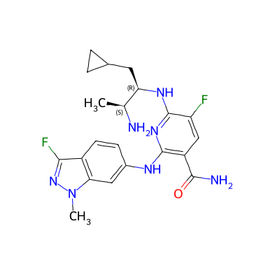 C[C@H](N)[C@@H](CC1CC1)Nc1nc(Nc2ccc3c(F)nn(C)c3c2)c(C(N)=O)cc1F